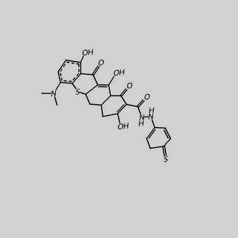 CN(C)c1ccc(O)c2c1SC1CC3CC(O)=C(C(=O)NNC4=CCC(=S)C=C4)C(=O)C3C(O)=C1C2=O